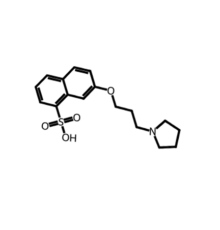 O=S(=O)(O)c1cccc2ccc(OCCCN3CCCC3)cc12